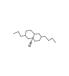 CCCCC1CCC2(C#N)CC(CCC)CCC2C1